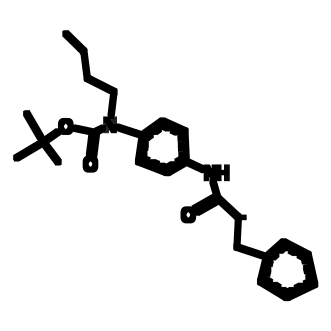 CCCCN(C(=O)OC(C)(C)C)c1ccc(NC(=O)[CH]Cc2ccccc2)cc1